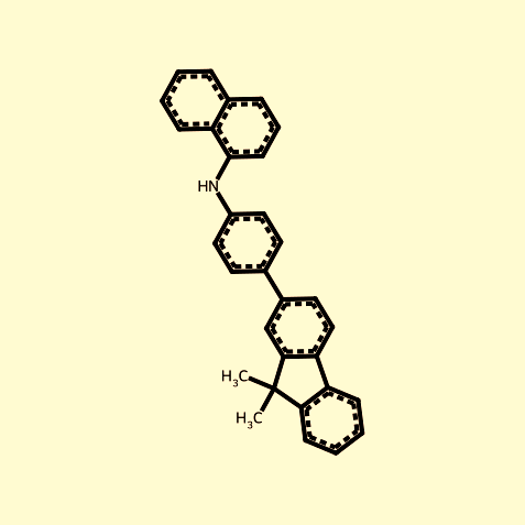 CC1(C)c2ccccc2-c2ccc(-c3ccc(Nc4cccc5ccccc45)cc3)cc21